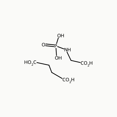 O=C(O)CCC(=O)O.O=C(O)CNP(=O)(O)O